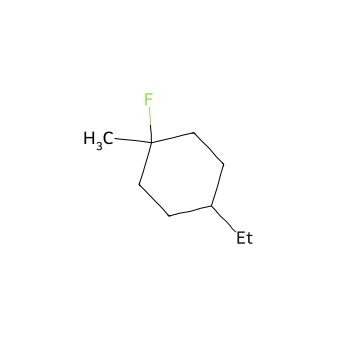 CCC1CCC(C)(F)CC1